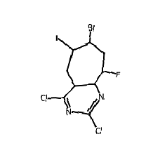 FC1CC(Br)C(I)CC2C(Cl)=NC(Cl)=NC12